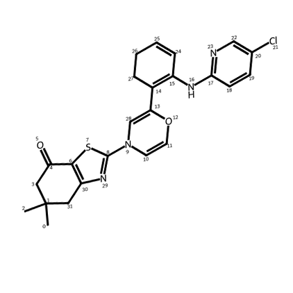 CC1(C)CC(=O)c2sc(N3C=COC(C4=C(Nc5ccc(Cl)cn5)C=CCC4)=C3)nc2C1